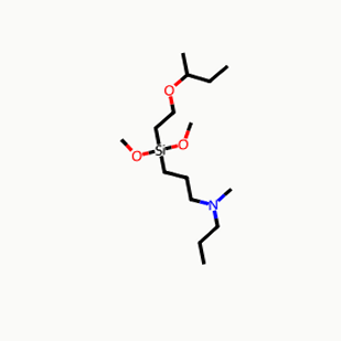 CCCN(C)CCC[Si](CCOC(C)CC)(OC)OC